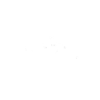 NCC(CCl)CN1C=C2CC=CC(NC(=O)Cc3ccc(Cl)c(C(F)(F)F)c3)=C2C(=O)C1